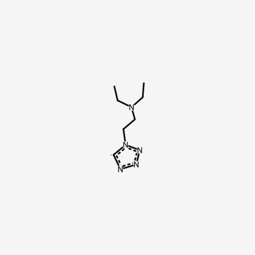 CCN(CC)CCn1[c]nnn1